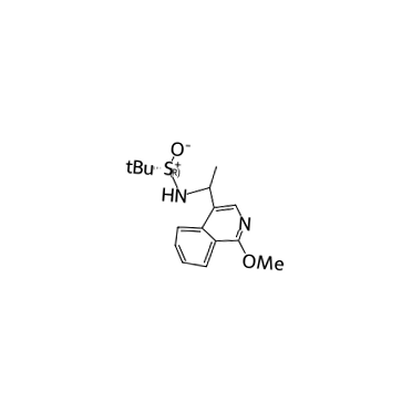 COc1ncc(C(C)N[S@@+]([O-])C(C)(C)C)c2ccccc12